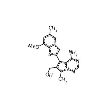 COc1cc(C)cc2cc(-c3c(CO)c(C)n4ncnc(N)c34)sc12